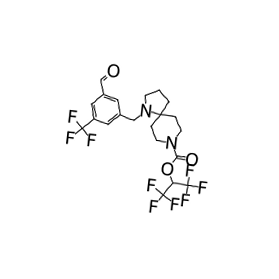 O=Cc1cc(CN2CCCC23CCN(C(=O)OC(C(F)(F)F)C(F)(F)F)CC3)cc(C(F)(F)F)c1